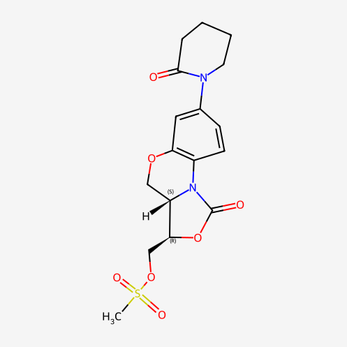 CS(=O)(=O)OC[C@@H]1OC(=O)N2c3ccc(N4CCCCC4=O)cc3OC[C@@H]12